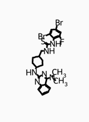 CN(C)c1nc(NC2CCC(CNC(=S)Nc3c(F)cc(Br)cc3Br)CC2)nc2ccccc12